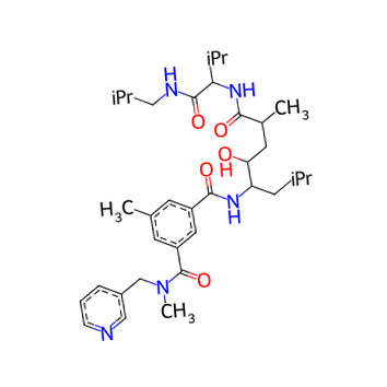 Cc1cc(C(=O)NC(CC(C)C)C(O)CC(C)C(=O)NC(C(=O)NCC(C)C)C(C)C)cc(C(=O)N(C)Cc2cccnc2)c1